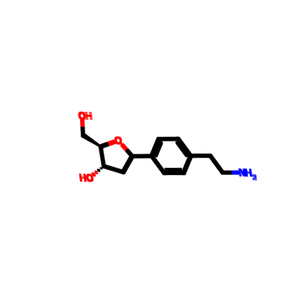 NCCc1ccc(C2C[C@H](O)[C@@H](CO)O2)cc1